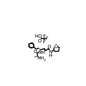 C[C@H](N)C(=O)N[C@H](/C=C/C(=O)NC1CCCOC1)CCc1ccccc1.O=C(O)C(F)(F)F